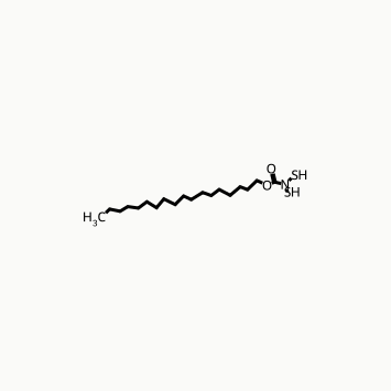 CCCCCCCCCCCCCCCCCCOC(=O)N(S)S